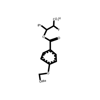 COCOc1ccc(C(=O)OC(C(C)C)C(F)C(=O)O)cc1